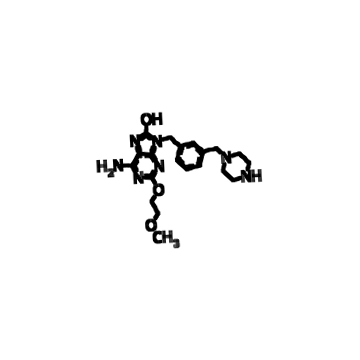 COCCOc1nc(N)c2nc(O)n(Cc3cccc(CN4CCNCC4)c3)c2n1